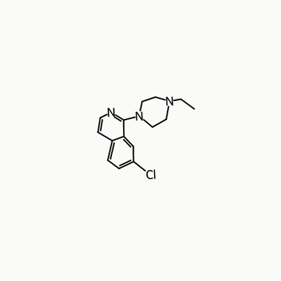 CCN1CCN(c2nccc3ccc(Cl)cc23)CC1